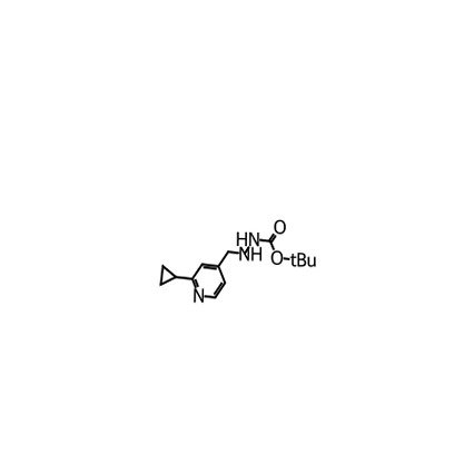 CC(C)(C)OC(=O)NNCc1ccnc(C2CC2)c1